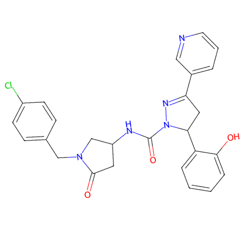 O=C1CC(NC(=O)N2N=C(c3cccnc3)CC2c2ccccc2O)CN1Cc1ccc(Cl)cc1